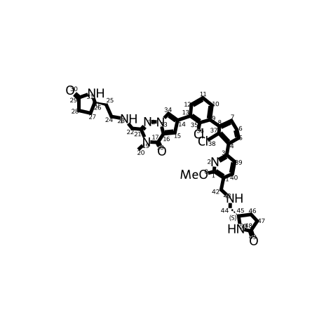 COc1nc(-c2cccc(-c3cccc(-c4cc5c(=O)n(C)c(CNCC[C@H]6CCC(=O)N6)nn5c4)c3Cl)c2Cl)ccc1CNC[C@@H]1CCC(=O)N1